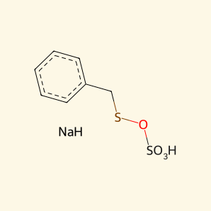 O=S(=O)(O)OSCc1ccccc1.[NaH]